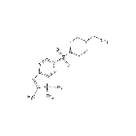 CCC1CCN(S(=O)(=O)c2ccc3c(c2)C(C)(C)C(C)=N3)CC1